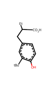 CCC(Cc1ccc(O)c(C(C)(C)C)c1)C(=O)O